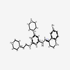 Fc1ccc2c(c1)/C(=N/Nc1cc(N3CCOCC3)nc(OCCN3CCOCC3)n1)CCO2